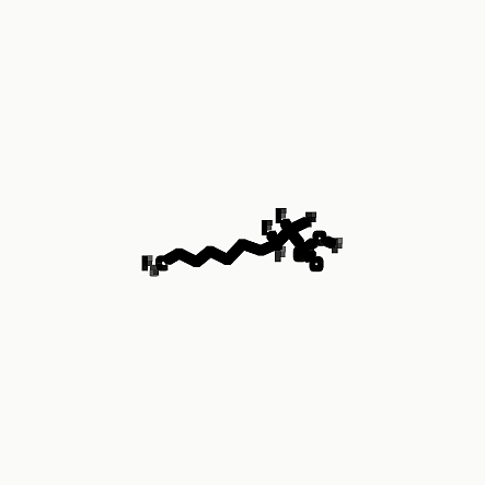 O=S(=O)(OF)C(F)(F)C(F)(F)CCCCCCC(F)(F)F